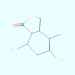 CC1CC(C)C2C(=O)OCC2C1C